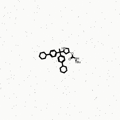 CCCCNC(=O)O[C@H]1CNC(C(C)(c2ccc(C3CCCCC3)cc2)c2ccc(C3CCCCC3)cc2)C1